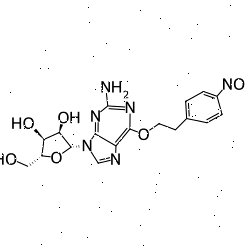 Nc1nc(OCCc2ccc([N+](=O)[O-])cc2)c2ncn([C@@H]3O[C@H](CO)[C@@H](O)[C@H]3O)c2n1